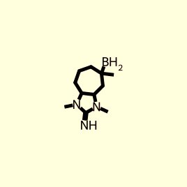 BC1(C)CCCC2C(C1)N(C)C(=N)N2C